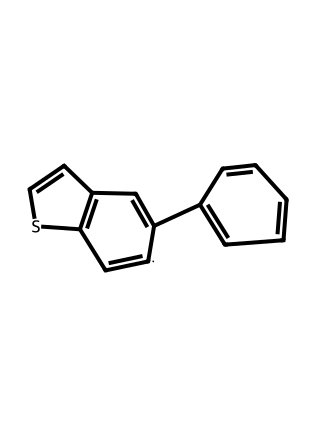 [c]1cc2sccc2cc1-c1ccccc1